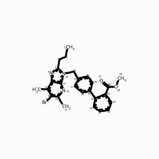 CCCc1nc2c(C)c(Br)c(C)nc2n1Cc1ccc(-c2ccccc2C(=O)OC)cc1